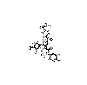 CC(=O)N1CCC(C(=O)N2C[C@@H](N(C)C(=O)Oc3ccc(F)cc3)[C@H](c3ccc(Cl)c(Cl)c3)C2)CC1